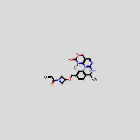 C=CC(=O)N1CC(OCc2ccc(C(C)Nc3ncc4c(n3)N(CC)C(=O)OC4)cc2)C1